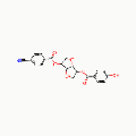 N#Cc1ccc(C(=O)OC2COC3C(OC(=O)c4ccc(O)cc4)COC23)cc1